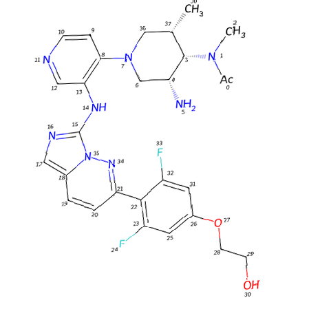 CC(=O)N(C)[C@@H]1[C@H](N)CN(c2ccncc2Nc2ncc3ccc(-c4c(F)cc(OCCO)cc4F)nn23)C[C@@H]1C